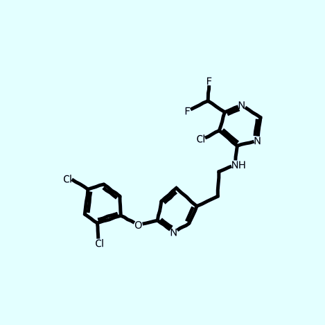 FC(F)c1ncnc(NCCc2ccc(Oc3ccc(Cl)cc3Cl)nc2)c1Cl